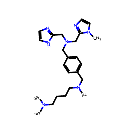 CCCN(CCC)CCCCN(Cc1ccc(CN(Cc2ncc[nH]2)Cc2nccn2C)cc1)C(C)=O